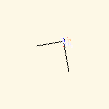 CCCCCCCCCCCCCCCCCC(=O)C(N)C[N+]1(C)CCN=C1CCCCCCCCCCCCCCCCC.COS(=O)(=O)[O-]